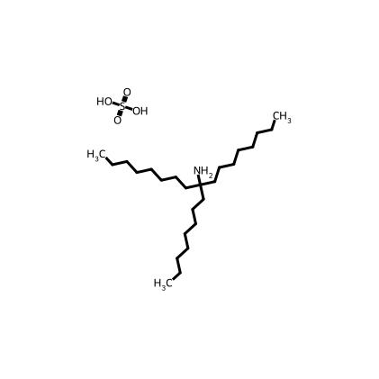 CCCCCCCCC(N)(CCCCCCCC)CCCCCCCC.O=S(=O)(O)O